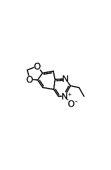 CCc1nc2cc3c(cc2c[n+]1[O-])OCO3